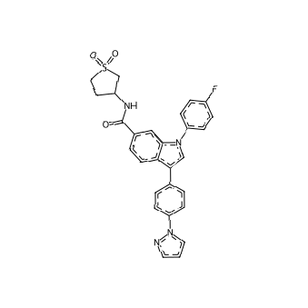 O=C(NC1CCS(=O)(=O)C1)c1ccc2c(-c3ccc(-n4cccn4)cc3)cn(-c3ccc(F)cc3)c2c1